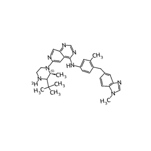 [2H]N1CCN(c2cc3c(Nc4ccc(Cc5ccc6c(c5)ncn6C)c(C)c4)ncnc3cn2)[C@@H](C)C1C(C)(C)C